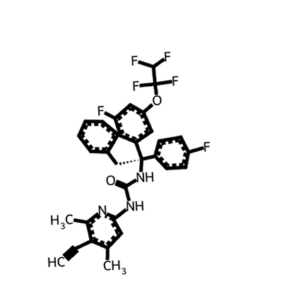 C#Cc1c(C)cc(NC(=O)N[C@](Cc2ccccc2)(c2ccc(F)cc2)c2cc(F)cc(OC(F)(F)C(F)F)c2)nc1C